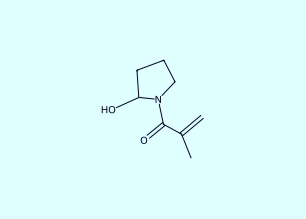 C=C(C)C(=O)N1CCCC1O